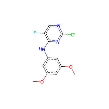 COc1cc(Nc2nc(Cl)ncc2F)cc(OC)c1